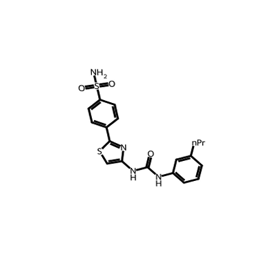 CCCc1cccc(NC(=O)Nc2csc(-c3ccc(S(N)(=O)=O)cc3)n2)c1